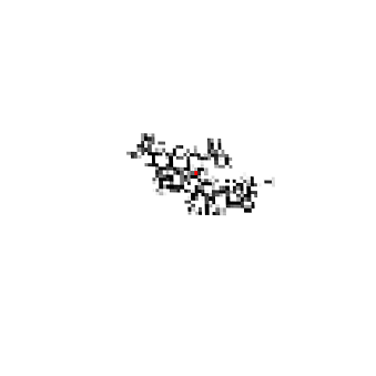 CCN(CC)c1ccc2c(c1)Oc1cc(N(CC)CC)ccc1C21c2ccccc2C(=O)N1Cc1cn([C@H]2O[C@H](CO)[C@@H]3OC3C2NC(C)=O)nn1